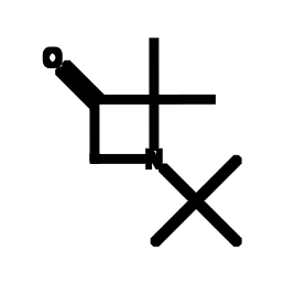 CC(C)(C)N1CC(=O)C1(C)C